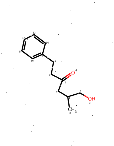 CC(CO)CC(=O)CCc1ccccc1